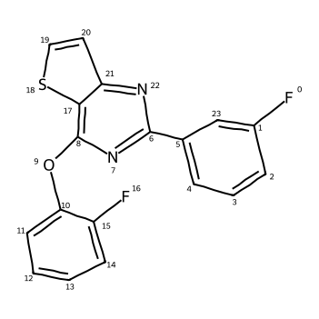 Fc1cccc(-c2nc(Oc3ccccc3F)c3sccc3n2)c1